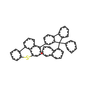 c1ccc(C2(c3cccc4ccccc34)c3ccccc3-c3ccc(-c4ccc5c6c(cccc46)-c4ccccc4S5)cc32)cc1